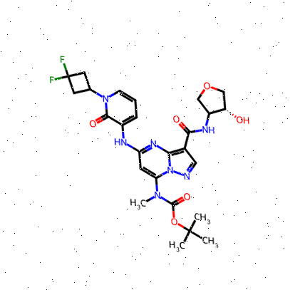 CN(C(=O)OC(C)(C)C)c1cc(Nc2cccn(C3CC(F)(F)C3)c2=O)nc2c(C(=O)NC3COC[C@@H]3O)cnn12